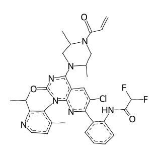 C=CC(=O)N1CC(C)N(c2nc(=O)n(-c3c(C)ccnc3C(C)C)c3nc(-c4ccccc4NC(=O)C(F)F)c(Cl)cc23)CC1C